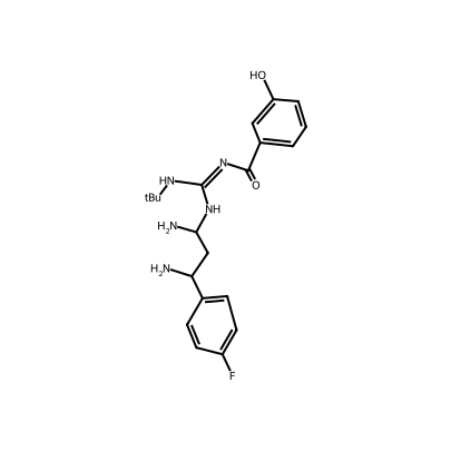 CC(C)(C)N/C(=N/C(=O)c1cccc(O)c1)NC(N)CC(N)c1ccc(F)cc1